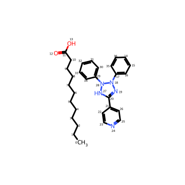 CCCCCCCCCCCC(=O)O.c1ccc(N2N=C(c3ccncc3)NN2c2ccccc2)cc1